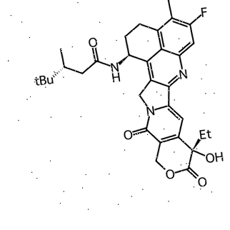 CC[C@@]1(O)C(=O)OCc2c1cc1n(c2=O)Cc2c-1nc1cc(F)c(C)c3c1c2[C@@H](NC(=O)C[C@@H](C)C(C)(C)C)CC3